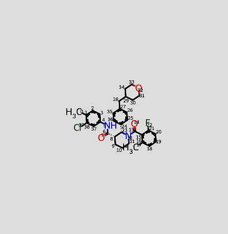 Cc1ccc(NC(=O)[C@H]2CCCN(C(=O)c3c(C)cccc3F)[C@H]2c2ccc(CC3CCOCC3)cc2)cc1Cl